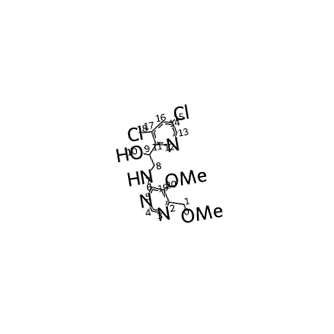 COCc1ncnc(NCC(O)c2ncc(Cl)cc2Cl)c1OC